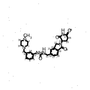 CN1CCN(Cc2cccc(NC(=O)NCc3ccc4c(c3)CN(C3CCC(=O)NC3=O)C4=O)c2)CC1